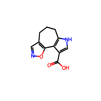 O=C(O)c1c[nH]c2c1-c1oncc1CCC2